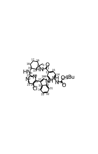 CC1(NC(=O)c2ccc(NC(=O)OC(C)(C)C)cc2)CCCC(Nc2ncc(Cl)c(-c3c[nH]c4ccccc34)n2)C1